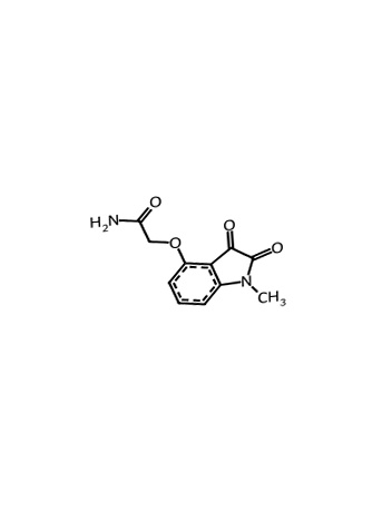 CN1C(=O)C(=O)c2c(OCC(N)=O)cccc21